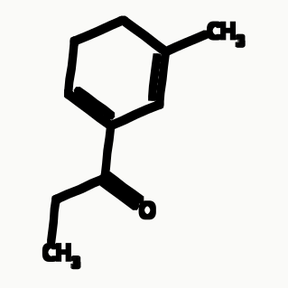 CCC(=O)C1=CCCC(C)=C1